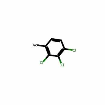 [CH2]C(=O)c1ccc(Cl)c(Cl)c1Cl